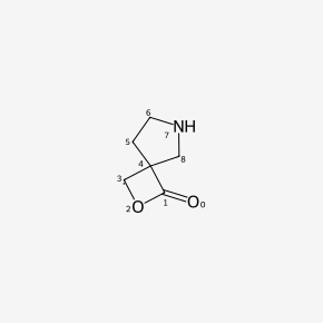 O=C1O[CH]C12CCNC2